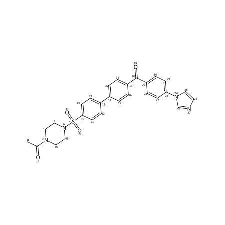 CC(=O)N1CCN(S(=O)(=O)c2ccc(-c3ccc(C(=O)c4ccc(-n5ccnc5)cc4)cc3)cc2)CC1